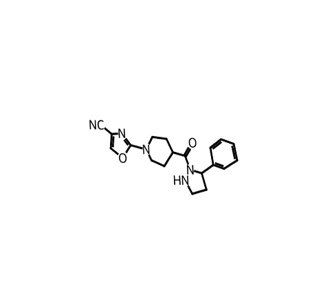 N#Cc1coc(N2CCC(C(=O)N3NCCC3c3ccccc3)CC2)n1